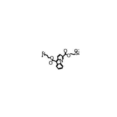 CN(C)CCOC(=O)c1c2ccccc2n2cc(C(=O)OCC[S+](C)[O-])ccc12